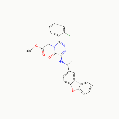 CCCCOC(=O)Cn1c(-c2ccccc2F)nnc(N[C@H](C)c2ccc3oc4ccccc4c3c2)c1=O